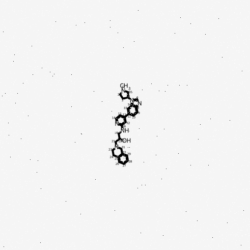 CN1CCC(n2cnc3ccc(-c4ccnc(NCC(O)CN5CCc6ccccc6C5)c4)cc32)C1